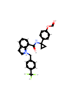 O=COc1ccc(C2(NC(=O)c3cccc4ccn(Cc5ccc(C(F)(F)F)cc5)c34)CC2)cc1